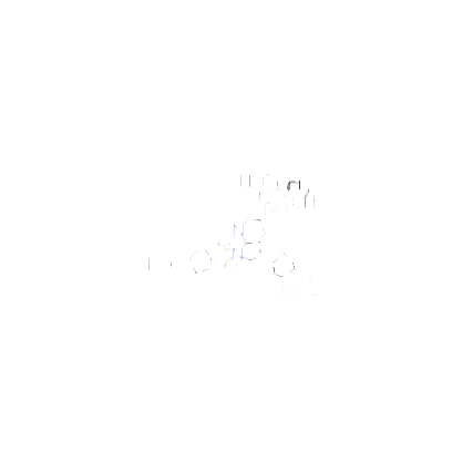 Cc1ccc(S(=O)(=O)n2cc(-c3ccc4c(c3)OC(F)(F)O4)c3cc(B4OC(C)(C)C(C)(C)O4)cnc32)cc1